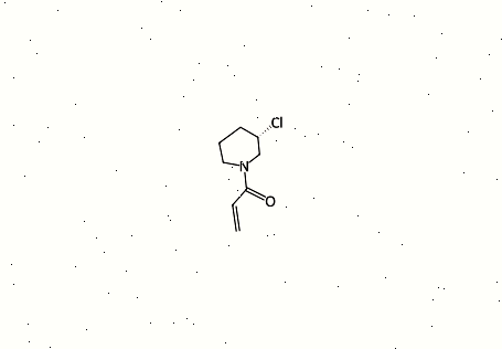 C=CC(=O)N1CCC[C@H](Cl)C1